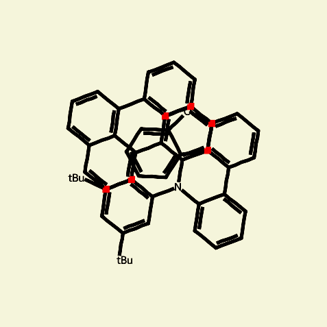 CC(C)(C)c1cc(N(c2ccccc2-c2cccc3cccc(-c4ccccc4)c23)c2ccccc2-c2cccc3oc4ccccc4c23)cc(C(C)(C)C)c1